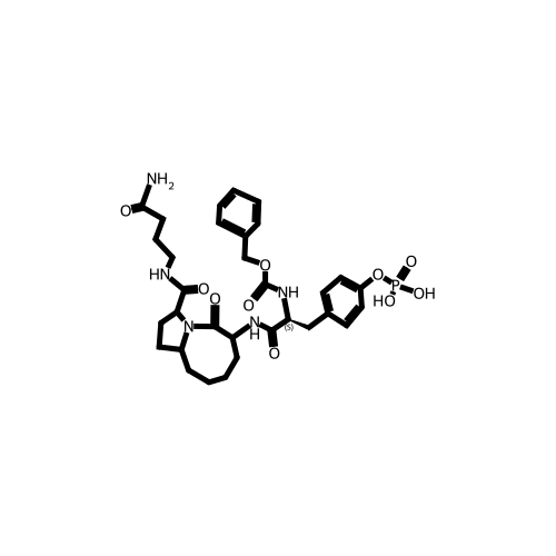 NC(=O)CCCNC(=O)C1CCC2CCCCC(NC(=O)[C@H](Cc3ccc(OP(=O)(O)O)cc3)NC(=O)OCc3ccccc3)C(=O)N21